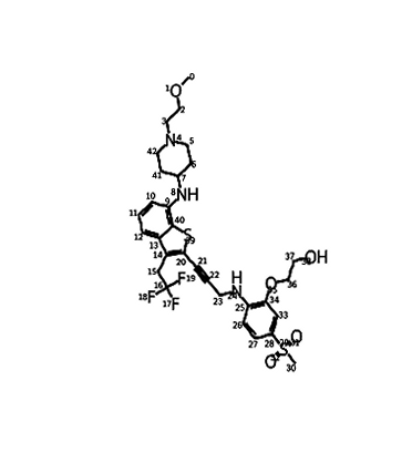 COCCN1CCC(Nc2cccc3c(CC(F)(F)F)c(C#CCNc4ccc(S(C)(=O)=O)cc4OCCO)sc23)CC1